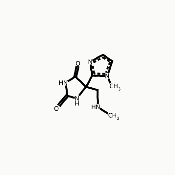 CNCC1(c2nccn2C)NC(=O)NC1=O